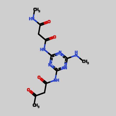 CNC(=O)CC(=O)Nc1nc(NC)nc(NC(=O)CC(C)=O)n1